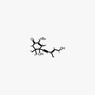 CCCCC1=C(C)C(O)(C#CC(C)=CCO)C(C)(C)CC1=O